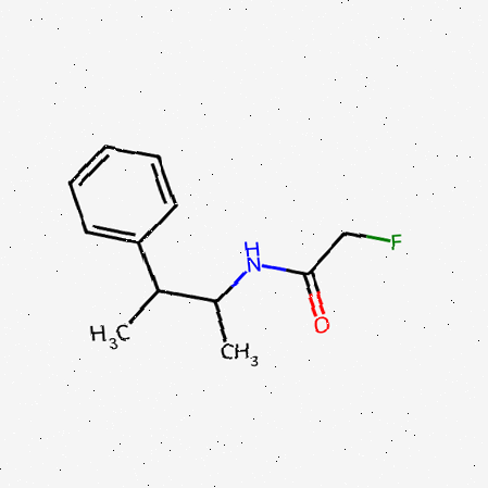 CC(NC(=O)CF)C(C)c1ccccc1